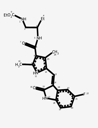 C[CH]OC(=O)NCC(CC)NC(=O)c1c(C)[nH]c(/C=C2\C(=O)Nc3ccc(F)cc32)c1C